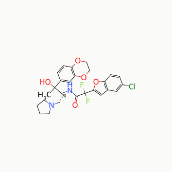 CC(O)(c1ccc2c(c1)OCCO2)[C@@H](CN1CCCC1)NC(=O)C(F)(F)c1cc2cc(Cl)ccc2o1